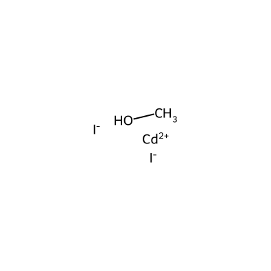 CO.[Cd+2].[I-].[I-]